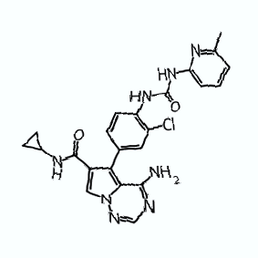 Cc1cccc(NC(=O)Nc2ccc(-c3c(C(=O)NC4CC4)cn4ncnc(N)c34)cc2Cl)n1